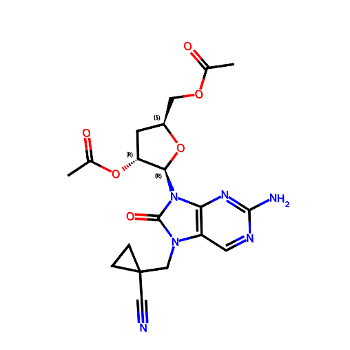 CC(=O)OC[C@@H]1C[C@@H](OC(C)=O)[C@H](n2c(=O)n(CC3(C#N)CC3)c3cnc(N)nc32)O1